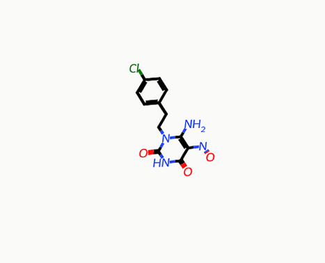 Nc1c(N=O)c(=O)[nH]c(=O)n1CCc1ccc(Cl)cc1